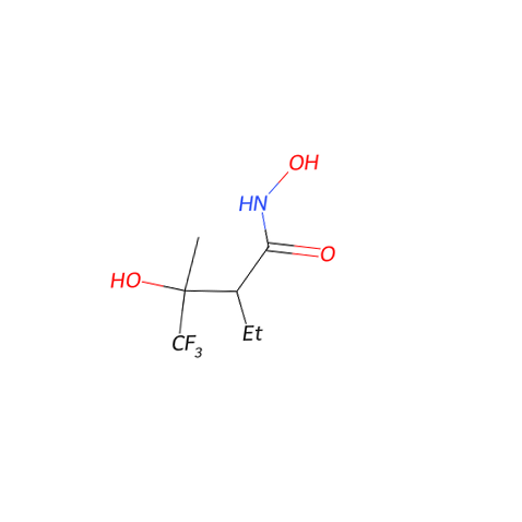 CCC(C(=O)NO)C(C)(O)C(F)(F)F